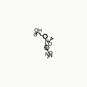 Cc1noc(C23CCC(CN(C(=O)C4CC4)c4cccc(/C=C/C(=O)O)c4)(CC2)CC3)n1